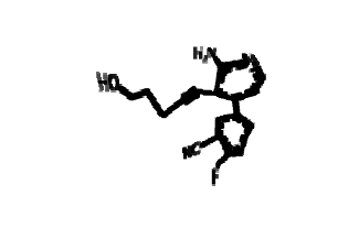 N#Cc1cc(-c2ccnc(N)c2C#CCCCO)ccc1F